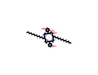 CCCCCCCCCCCCCc1c2nc(c(-c3cccc(O)c3)c3ccc([nH]3)c(CCCCCCCCCCCCC)c3nc(c(-c4cccc(O)c4)c4ccc1[nH]4)C(O)C3O)C=C2